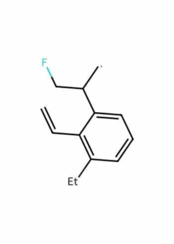 [CH2]C(CF)c1cccc(CC)c1C=C